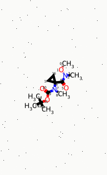 CON(C)C(=O)C1(N(C)C(=O)OC(C)(C)C)CC1